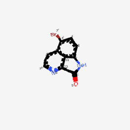 O=C1Nc2ccc(Br)c3ccnc1c23